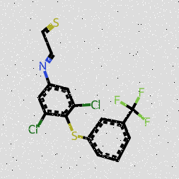 FC(F)(F)c1cccc(Sc2c(Cl)cc(N=CC=S)cc2Cl)c1